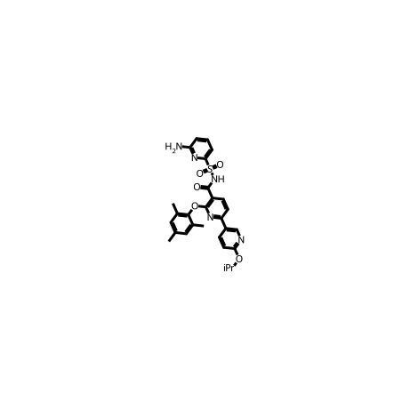 Cc1cc(C)c(Oc2nc(-c3ccc(OC(C)C)nc3)ccc2C(=O)NS(=O)(=O)c2cccc(N)n2)c(C)c1